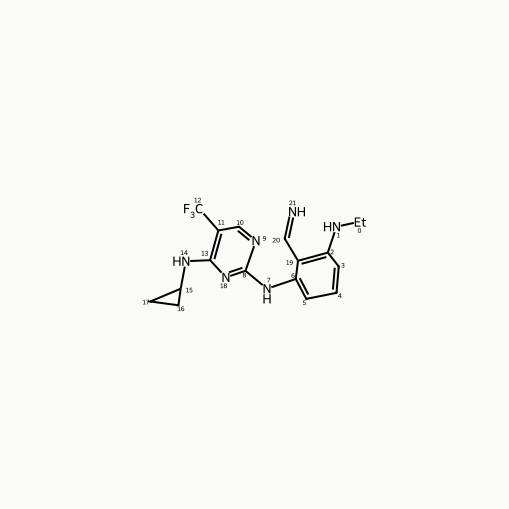 CCNc1cccc(Nc2ncc(C(F)(F)F)c(NC3CC3)n2)c1C=N